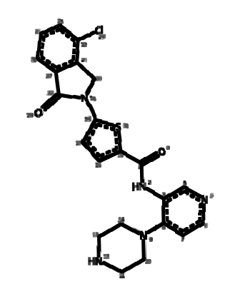 O=C(Nc1cnccc1N1CCNCC1)c1ccc(N2Cc3c(Cl)cccc3C2=O)s1